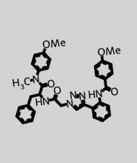 COc1ccc(C(=O)Nc2ccccc2-c2cn(CC(=O)NC(Cc3ccccc3)C(=O)N(C)c3ccc(OC)cc3)nn2)cc1